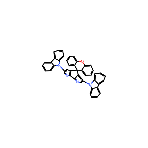 c1ccc2c(c1)Oc1ccccc1C21c2cc(-n3c4ccccc4c4ccccc43)cnc2-c2ncc(-n3c4ccccc4c4ccccc43)cc21